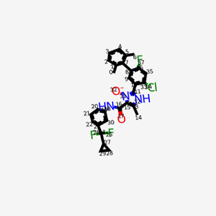 Cc1cccc(C)c1-c1cc(-c2[nH]c(C)c(C(=O)Nc3cccc(C(F)(F)C4CC4)c3)[n+]2[O-])c(Cl)cc1F